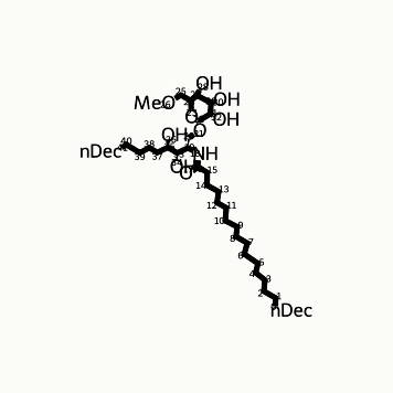 CCCCCCCCCCCCCCCCCCCCCCCCCC(=O)N[C@@H](COC1OC(COC)C(O)C(O)C1O)[C@H](O)[C@H](O)CCCCCCCCCCCCCC